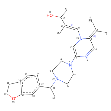 CC/C(C)=C1/C=NC(N2CCN(C(C)c3ccc4c(c3)OCC4)CC2)=CN1/C=C(\C)C(C)O